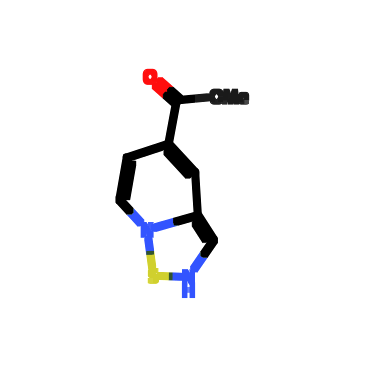 COC(=O)C1=CC2=CNSN2C=C1